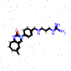 CC1=Cc2cn(C3=CC=C(CNCCCNC(=N)N)CC3)c(=O)nc2CCC1